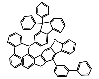 c1ccc(-c2cccc(-c3c4oc5cccc(N(c6ccc7c(c6)C(c6ccccc6)(c6ccccc6)c6ccccc6-7)c6ccccc6-c6ccccc6)c5c4cc4oc5ccccc5c34)c2)cc1